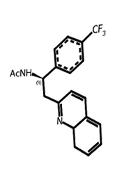 CC(=O)N[C@H](CC1=NC2CC=CC=C2C=C1)c1ccc(C(F)(F)F)cc1